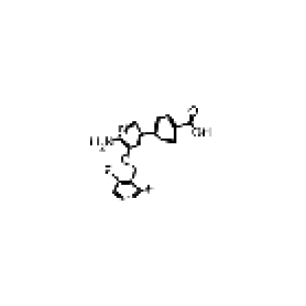 Nc1ncc(-c2ccc(C(=O)O)cc2)cc1OCc1c(F)cccc1F